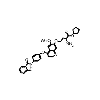 COc1cc2c(Oc3ccc(NC(=O)c4ccccc4F)cc3)ccnc2cc1OCC[C@H](N)C(=O)OC1CCCC1